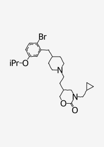 CC(C)Oc1ccc(Br)c(CC2CCN(CCC3COC(=O)N(CC4CC4)C3)CC2)c1